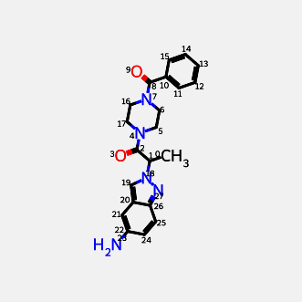 CC(C(=O)N1CCN(C(=O)c2ccccc2)CC1)n1cc2cc(N)ccc2n1